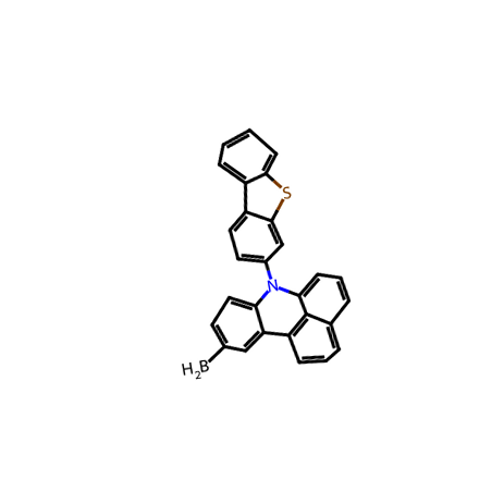 Bc1ccc2c(c1)-c1cccc3cccc(c13)N2c1ccc2c(c1)sc1ccccc12